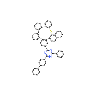 c1ccc(-c2ccc(-c3nc(-c4ccccc4)nc(-c4ccc5c(c4)-c4ccc6ccccc6c4Sc4ccccc4-c4ccccc4-c4ccccc4-5)n3)cc2)cc1